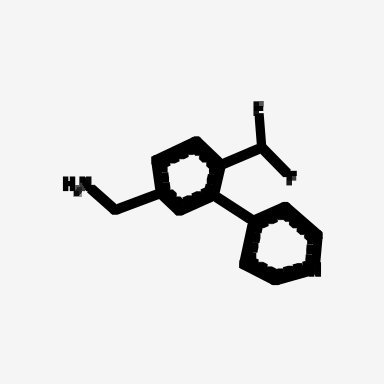 NCc1ccc(C(F)F)c(-c2ccncc2)c1